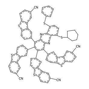 N#Cc1ccc2sc3ccc(-c4c(-c5ccc6sc7ccc(C#N)cc7c6c5)c(-c5ccc6sc7ccc(C#N)cc7c6c5)c5nc6c(SC7CCCCC7)ccc(Sc7ccccc7)c6nc5c4-c4ccc5sc6ccc(C#N)cc6c5c4)cc3c2c1